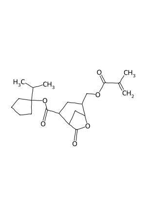 C=C(C)C(=O)OCC1CC(C(=O)OC2(C(C)C)CCCC2)C2CC1OC2=O